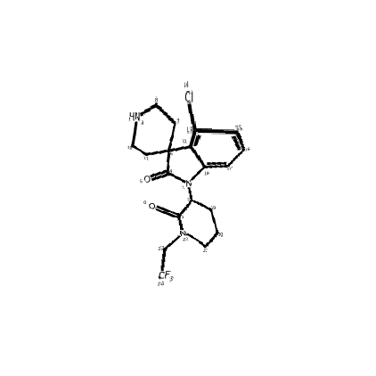 O=C1C(N2C(=O)C3(CCNCC3)c3c(Cl)cccc32)CCCN1CC(F)(F)F